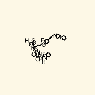 COC(=O)c1nc(N2CCCc3c2nnc(Nc2nc4ccccc4s2)c3C)sc1CCCOc1ccc(C#CCN2CCC(N3CCCCC3)CC2)cc1F